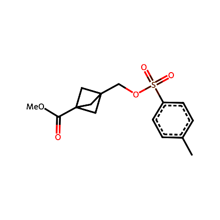 COC(=O)C12CC(COS(=O)(=O)c3ccc(C)cc3)(C1)C2